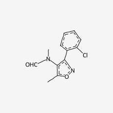 Cc1onc(-c2ccccc2Cl)c1N(C)C=O